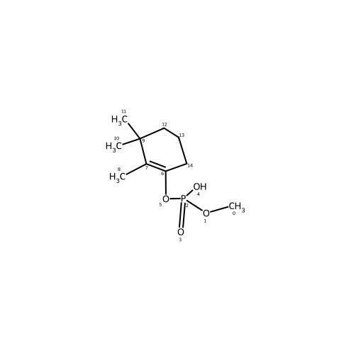 COP(=O)(O)OC1=C(C)C(C)(C)CCC1